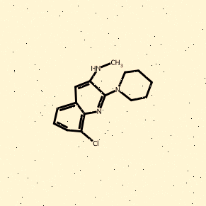 CNc1cc2cccc(Cl)c2nc1N1CCCCC1